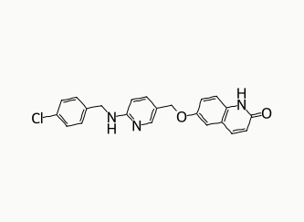 O=c1ccc2cc(OCc3ccc(NCc4ccc(Cl)cc4)nc3)ccc2[nH]1